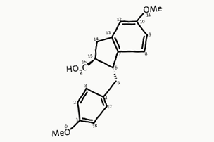 COc1ccc(C[C@H]2c3ccc(OC)cc3C[C@@H]2C(=O)O)cc1